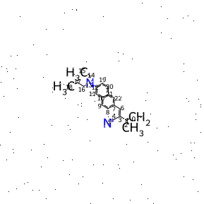 C=C(C)/C(C#N)=C/c1ccc2cc(N(CC)CCC)ccc2c1